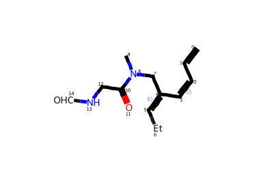 C=C/C=C\C(=C/CC)CN(C)C(=O)CNC=O